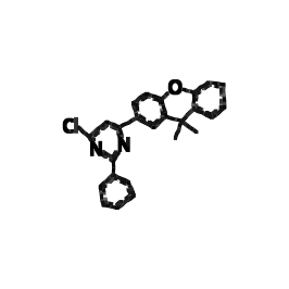 CC1(C)c2ccccc2Oc2ccc(-c3cc(Cl)nc(-c4ccccc4)n3)cc21